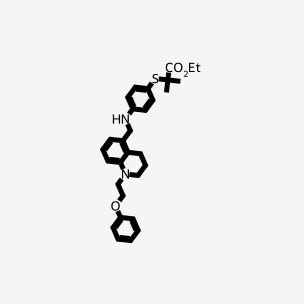 CCOC(=O)C(C)(C)Sc1ccc(NCc2cccc3c2CCCN3CCOc2ccccc2)cc1